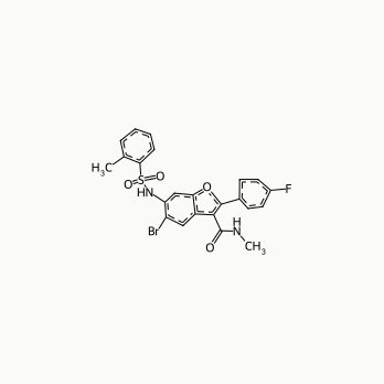 CNC(=O)c1c(-c2ccc(F)cc2)oc2cc(NS(=O)(=O)c3ccccc3C)c(Br)cc12